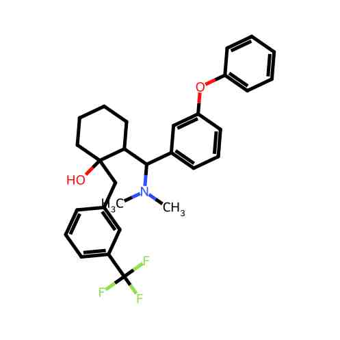 CN(C)C(c1cccc(Oc2ccccc2)c1)C1CCCCC1(O)Cc1cccc(C(F)(F)F)c1